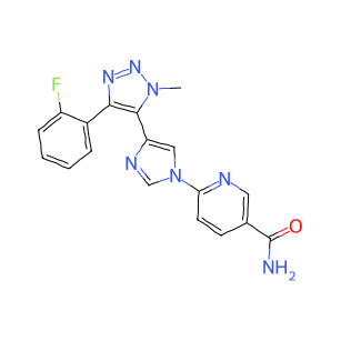 Cn1nnc(-c2ccccc2F)c1-c1cn(-c2ccc(C(N)=O)cn2)cn1